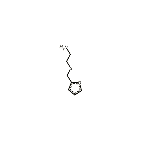 NCCSCc1ccco1